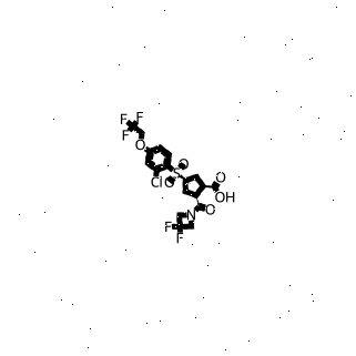 O=C(O)[C@@H]1C[C@H](S(=O)(=O)c2ccc(OCC(F)(F)F)cc2Cl)C[C@H]1C(=O)N1CC(F)(F)C1